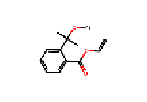 C=COC(=O)c1ccccc1C(C)(C)OCC